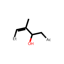 CCC=C(C)C(O)CC(C)=O